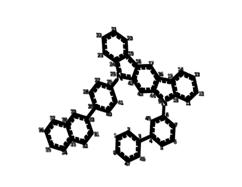 c1ccc(-c2cccc(-n3c4ccccc4c4cc5c6ccccc6n(-c6ccc(-c7ccc8ccccc8c7)cc6)c5cc43)c2)cc1